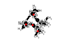 C=CCCC(=O)N[C@H](C(=O)N[C@@H](C)C(=O)Nc1ccc(COC(O)Nc2cc(OCCCCCOc3cc(NC(=O)OCc4ccc(NC(=O)[C@H](C)NC(=O)[C@@H](NC(=O)OCC=C)C(C)C)cc4)c(C(=O)N4C=C(C)CC4CO)cc3OC)c(OC)cc2C(=O)N2C=C(C)C[C@H]2CO)cc1)C(C)C